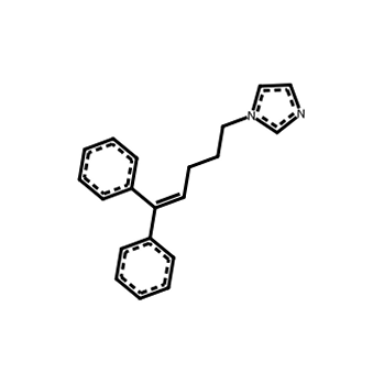 C(CCCn1ccnc1)=C(c1ccccc1)c1ccccc1